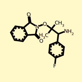 CC(C)(ON1C(=O)c2ccccc2C1=O)C(N)c1ccc(F)cc1